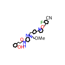 COCCn1c(Cc2ccc(-c3cccc(OCc4ccc(C#N)cc4F)n3)cc2)nc2cc(NC(=O)CCc3ccccc3O)ccc21